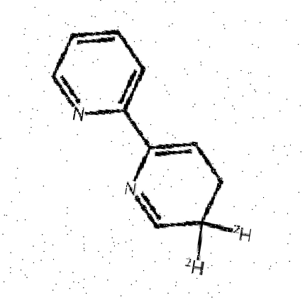 [2H]C1([2H])C=NC(c2ccccn2)=CC1